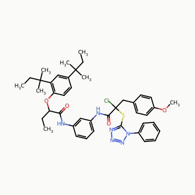 CCC(Oc1ccc(C(C)(C)CC)cc1C(C)(C)CC)C(=O)Nc1cccc(NC(=O)C(Cl)(Cc2ccc(OC)cc2)Sc2nnnn2-c2ccccc2)c1